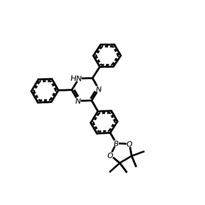 CC1(C)OB(c2ccc(C3=NC(c4ccccc4)NC(c4ccccc4)=N3)cc2)OC1(C)C